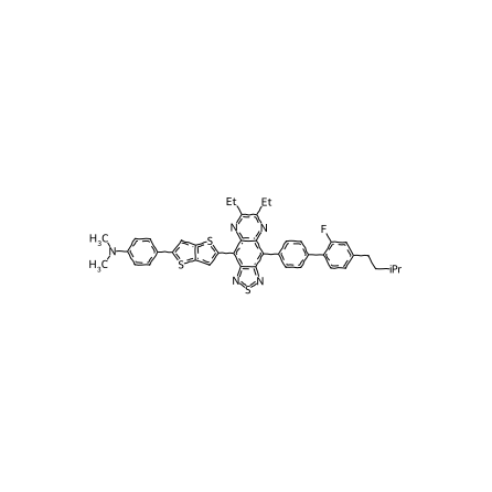 CCc1nc2c(-c3ccc(-c4ccc(CCC(C)C)cc4F)cc3)c3nsnc3c(-c3cc4sc(-c5ccc(N(C)C)cc5)cc4s3)c2nc1CC